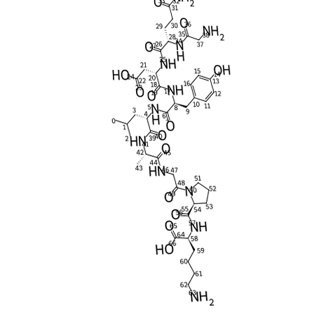 CC(C)C[C@H](NC(=O)[C@H](Cc1ccc(O)cc1)NC(=O)[C@H](CC(=O)O)NC(=O)[C@H](CCC(N)=O)NC(=O)CN)C(=O)N[C@@H](C)C(=O)NCC(=O)N1CCC[C@H]1C(=O)N[C@@H](CCCCN)C(=O)O